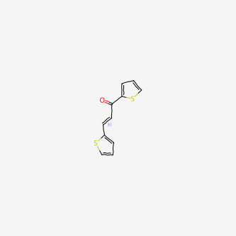 O=C(/C=C/c1cccs1)c1cccs1